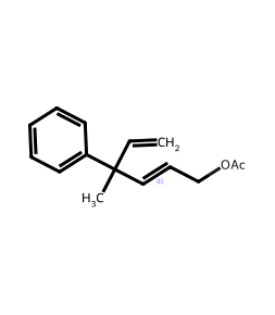 C=CC(C)(/C=C/COC(C)=O)c1ccccc1